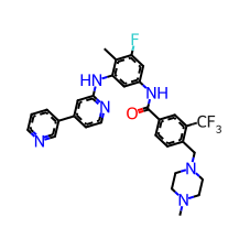 Cc1c(F)cc(NC(=O)c2ccc(CN3CCN(C)CC3)c(C(F)(F)F)c2)cc1Nc1cc(-c2cccnc2)ccn1